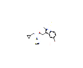 Cc1c(CC(=O)N(CC2CC2)c2nccs2)c2cc(CO)ccc2n1S(C)(=O)=O